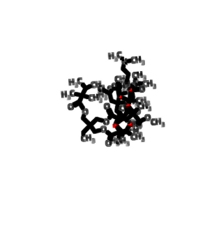 CCC(COC(=O)C(C)(CC(C)C)CC(C)(CC(C)(CC(C)(C)C)C(=O)OCCN(C)C)C(=O)OC)(COC(=O)C(C)(C)C(C)C)COC(=O)C(C)(CC(C)(CC(C)(CC(C)C)C(=O)OC)C(=O)OCCN(C)C)C(C)C